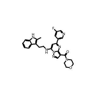 Cc1[nH]c2ccccc2c1CCNc1cc(-c2cncc(F)c2)nc2c(C(=O)N3CCOCC3)cnn12